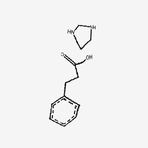 C1CNCN1.O=C(O)CCc1ccccc1